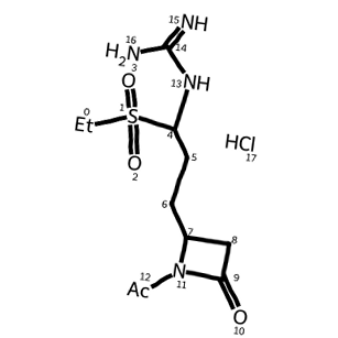 CCS(=O)(=O)C(CCC1CC(=O)N1C(C)=O)NC(=N)N.Cl